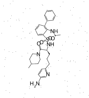 CC(=O)Nc1c(-c2ccccc2)cccc1S(=O)(=O)N[C@@H](CCCc1ccc(N)cn1)C(=O)N1CCC(C)CC1